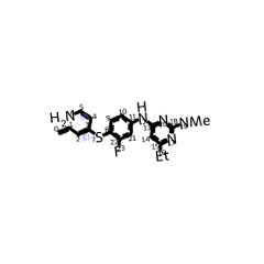 C=C/C=C(\C=C/N)Sc1ccc(Nc2cc(CC)nc(NC)n2)cc1F